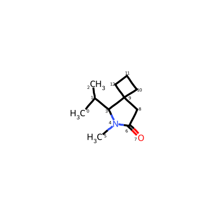 CC(C)C1N(C)C(=O)CC12CCC2